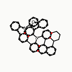 c1ccc(-n2c3ccccc3c3ccc(-c4ccccc4N(c4ccccc4-c4cccc5cccc(C6CCCCC6)c45)c4cccc5oc6ccccc6c45)cc32)cc1